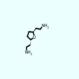 NCC[C@@H]1CC[C@@H](CCN)O1